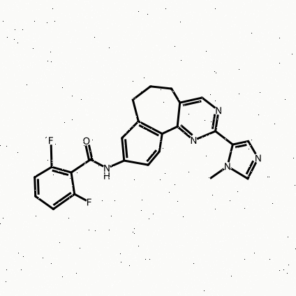 Cn1cncc1-c1ncc2c(n1)-c1ccc(NC(=O)c3c(F)cccc3F)cc1CCC2